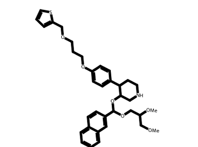 COCC(COC(OC1CNCCC1c1ccc(OCCCOCc2cccs2)cc1)c1ccc2ccccc2c1)OC